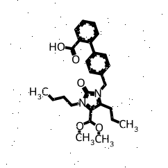 CCCCn1c(C(OC)OC)c(CCC)n(Cc2ccc(-c3ccccc3C(=O)O)cc2)c1=O